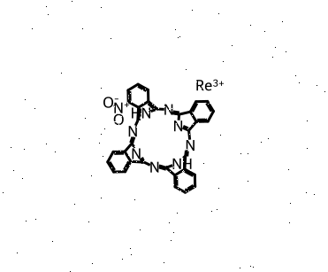 O=[N+]([O-])c1cccc2c3nc4nc(nc5[nH]c(nc6nc(nc([nH]3)c12)-c1ccccc1-6)c1ccccc51)-c1ccccc1-4.[Re+3]